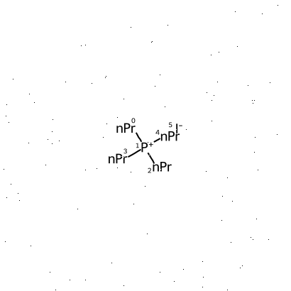 CCC[P+](CCC)(CCC)CCC.[I-]